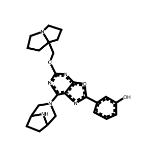 Oc1cccc(-c2nc3c(N4CC5CCC(C4)N5)nc(OCC45CCCN4CCC5)nc3o2)c1